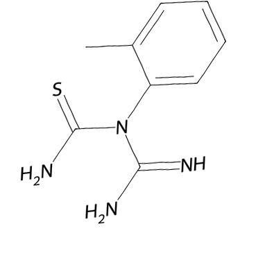 Cc1ccccc1N(C(=N)N)C(N)=S